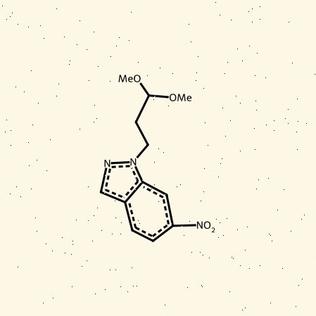 COC(CCn1ncc2ccc([N+](=O)[O-])cc21)OC